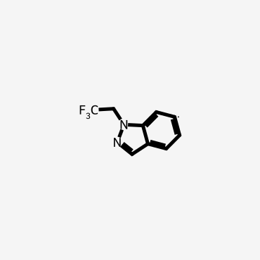 FC(F)(F)Cn1ncc2cc[c]cc21